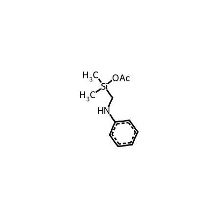 CC(=O)O[Si](C)(C)CNc1ccccc1